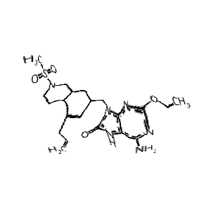 C=CCC1CC(Cn2c(=O)[nH]c3c(N)nc(OCC)nc32)CC2CN(S(C)(=O)=O)CCC12